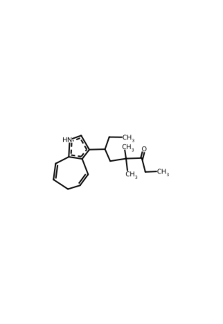 CCC(=O)C(C)(C)CC(CC)c1c[nH]c2c1C=CCC=C2